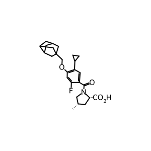 C[C@H]1C[C@@H](C(=O)O)N(C(=O)c2cc(C3CC3)c(OCC34CC5CC(C3)C(C5)C4)cc2F)C1